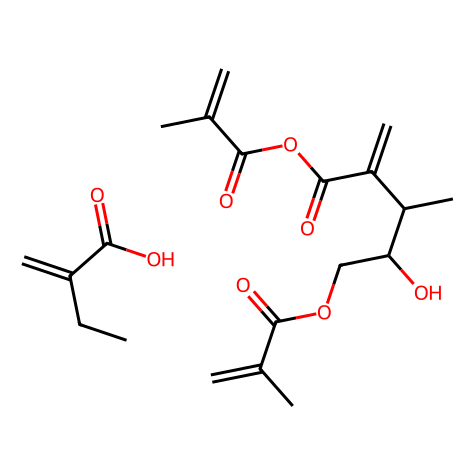 C=C(C)C(=O)OCC(O)C(C)C(=C)C(=O)OC(=O)C(=C)C.C=C(CC)C(=O)O